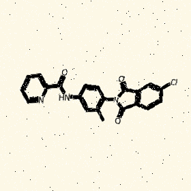 Cc1cc(NC(=O)c2ccccn2)ccc1N1C(=O)c2ccc(Cl)cc2C1=O